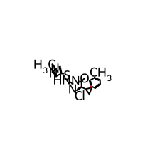 Cc1ccccc1Oc1nc(NSc2cnn(C)c2)nc(Cl)c1C1CC1